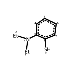 CCN(CC)c1ccccc1S